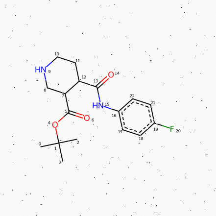 CC(C)(C)OC(=O)C1CNCCC1C(=O)Nc1ccc(F)cc1